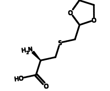 N[C@@H](CSCC1OCCO1)C(=O)O